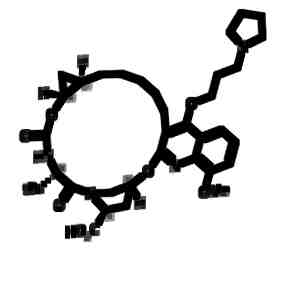 COc1cccc2c(OCCCN3CCCC3)c3c(nc12)O[C@@H]1C[C@@H](C(=O)O)N(C1)C(=O)[C@H](C(C)(C)C)NC(=O)O[C@@H]1C[C@H]1CCCCC3